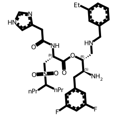 CCCC(CCC)S(=O)(=O)C[C@H](NC(=O)Cc1c[nH]cn1)C(=O)O[C@H](CNCc1cccc(CC)c1)[C@@H](N)Cc1cc(F)cc(F)c1